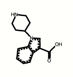 O=C(O)c1cn(C2CCNCC2)c2ccccc12